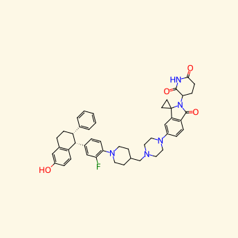 O=C1CCC(N2C(=O)c3ccc(N4CCN(CC5CCN(c6ccc([C@@H]7c8ccc(O)cc8CC[C@@H]7c7ccccc7)cc6F)CC5)CC4)cc3C23CC3)C(=O)N1